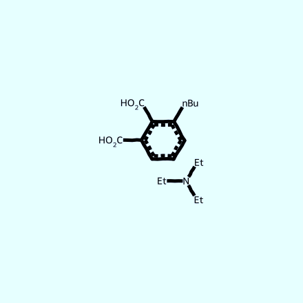 CCCCc1cccc(C(=O)O)c1C(=O)O.CCN(CC)CC